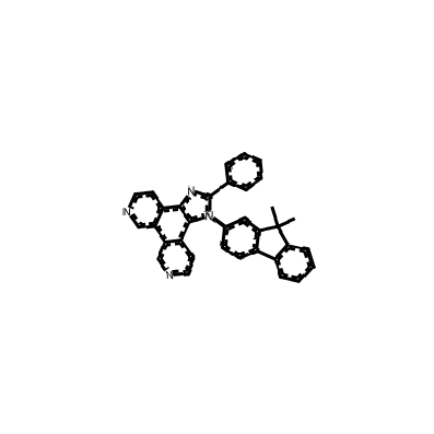 CC1(C)c2ccccc2-c2ccc(-n3c(-c4ccccc4)nc4c5ccncc5c5cnccc5c43)cc21